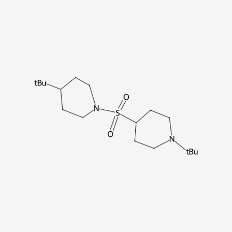 CC(C)(C)C1CCN(S(=O)(=O)C2CCN(C(C)(C)C)CC2)CC1